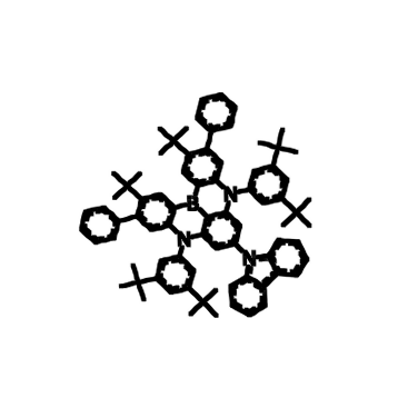 CC(C)(C)c1cc(N2c3cc(-c4ccccc4)c(C(C)(C)C)cc3B3c4cc(C(C)(C)C)c(-c5ccccc5)cc4N(c4cc(C(C)(C)C)cc(C(C)(C)C)c4)c4cc(-n5c6ccccc6c6ccccc65)cc2c43)cc(C(C)(C)C)c1